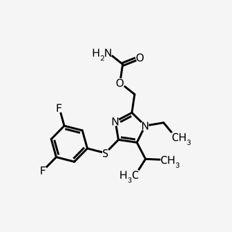 CCn1c(COC(N)=O)nc(Sc2cc(F)cc(F)c2)c1C(C)C